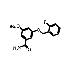 CC(C)COc1cc(OCc2ccccc2F)cc(C(N)=O)c1